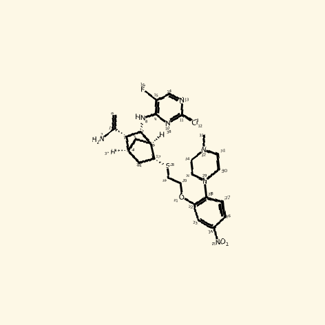 C=C(N)[C@H]1[C@H]2C[C@@H]([C@H]1Nc1nc(Cl)ncc1F)[C@H](SCCOc1cc([N+](=O)[O-])ccc1N1CCN(C)CC1)C2